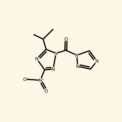 CC(C)c1nc([N+](=O)[O-])nn1C(=O)n1cncn1